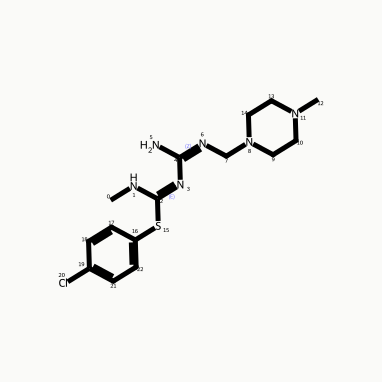 CN/C(=N\C(N)=N/CN1CCN(C)CC1)Sc1ccc(Cl)cc1